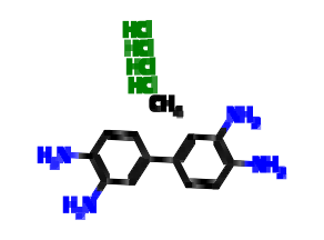 C.Cl.Cl.Cl.Cl.Nc1ccc(-c2ccc(N)c(N)c2)cc1N